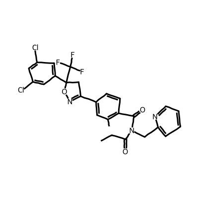 CCC(=O)N(Cc1ccccn1)C(=O)c1ccc(C2=NOC(c3cc(Cl)cc(Cl)c3)(C(F)(F)F)C2)cc1C